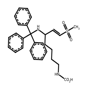 CS(=O)(=O)C=CC(CCCCNC(=O)O)NC(c1ccccc1)(c1ccccc1)c1ccccc1